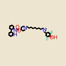 CN(CCCCCCCCCN1CCC(OC(=O)Nc2ccccc2-c2ccccc2)CC1)Cc1cc(F)c(O)c(F)c1